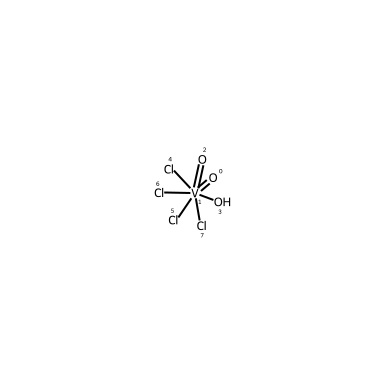 [O]=[V](=[O])([OH])([Cl])([Cl])([Cl])[Cl]